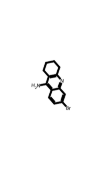 Nc1c2c(nc3cc(Br)ccc13)CCCC2